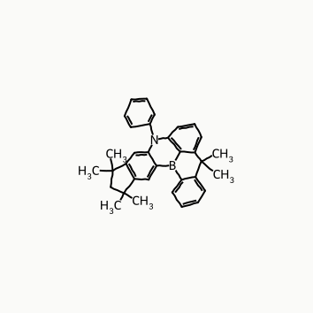 CC1(C)CC(C)(C)c2cc3c(cc21)B1c2ccccc2C(C)(C)c2cccc(c21)N3c1ccccc1